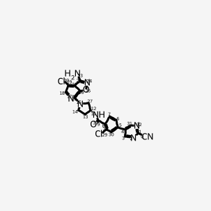 N#Cc1ncc(-c2ccc(C(=O)N[C@@H]3CCN(c4ncc(Cl)c5c(N)noc45)C3)c(Cl)c2)cn1